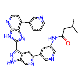 CC(C)CC(=O)Nc1cncc(-c2cc3c(-c4nc5c(-c6cccnc6)ccnc5[nH]4)n[nH]c3cn2)c1